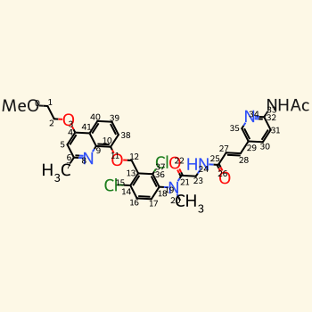 COCCOc1cc(C)nc2c(OCc3c(Cl)ccc(N(C)C(=O)CNC(=O)C=Cc4ccc(NC(C)=O)nc4)c3Cl)cccc12